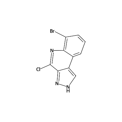 Clc1nc2c(Br)cccc2c2c[nH]nc12